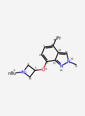 CCCCN1CC(Oc2ccc(C(C)C)c3cn(C)nc23)C1